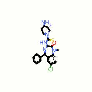 CN1C(=O)C(NC(=S)N2CCC(N)CC2)N=C(c2ccccc2)c2cc(Cl)ccc21